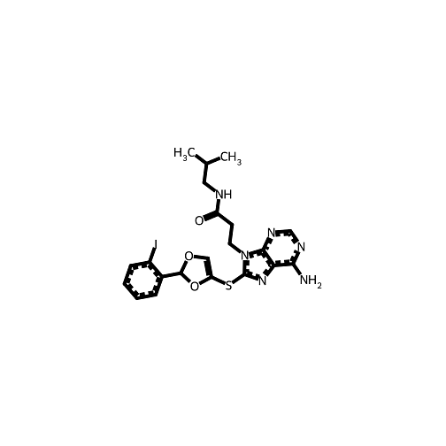 CC(C)CNC(=O)CCn1c(SC2=COC(c3ccccc3I)O2)nc2c(N)ncnc21